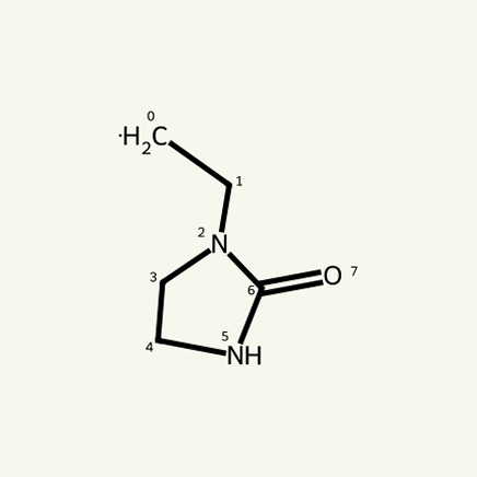 [CH2]CN1CCNC1=O